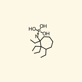 CCC1CCCCC(CC)(N=P(O)(O)O)C1(CC)CC